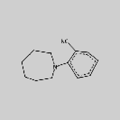 N#Cc1ccccc1N1CCCCCC1